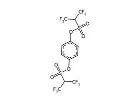 O=S(=O)(Oc1ccc(OS(=O)(=O)C(C(F)(F)F)C(F)(F)F)cc1)C(C(F)(F)F)C(F)(F)F